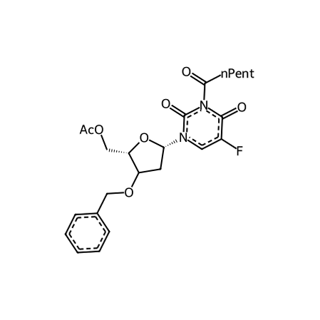 CCCCCC(=O)n1c(=O)c(F)cn([C@@H]2CC(OCc3ccccc3)[C@H](COC(C)=O)O2)c1=O